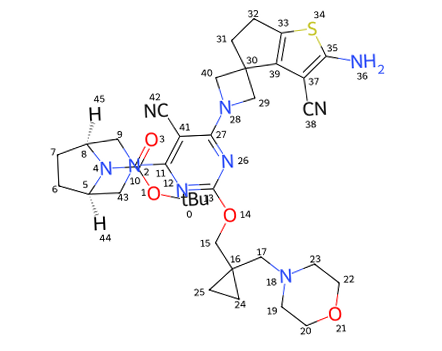 CC(C)(C)OC(=O)N1[C@@H]2CC[C@H]1CN(c1nc(OCC3(CN4CCOCC4)CC3)nc(N3CC4(CCc5sc(N)c(C#N)c54)C3)c1C#N)C2